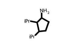 CC(C)C1CCC(N)C1C(C)C